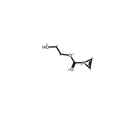 O=C(OCCO)N1C=C1